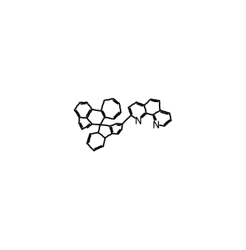 C1=CCC2=C(C=C1)C1(c3cc(-c4ccc5ccc6cccnc6c5n4)ccc3C3C=CC=CC31)c1cccc3cccc2c13